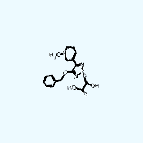 CN1CCC=C(c2nsnc2OCc2ccccc2)C1.O=C(O)C(=O)O